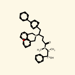 C[C@H]([C@H](O)c1ccccc1)N(C)C(=O)CCC(Cc1ccc(-c2ccccc2)cc1)N(Cc1ccccc1)Cc1ccccc1